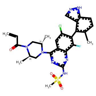 C=CC(=O)N1C[C@H](C)N(c2nc(NS(C)(=O)=O)nc3c(F)c(-c4c(C)ccc5[nH]ncc45)c(Cl)cc23)C[C@H]1C